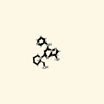 OC[C@H]1CCCCN1c1cc(Nc2cccnc2)n2ncc(Br)c2n1